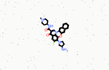 CN1CCC(NC(=O)c2cn3c4c(c(N5CCC(N)C5)c(F)cc4c2=O)Oc2cc4ccccc4cc2-3)CC1